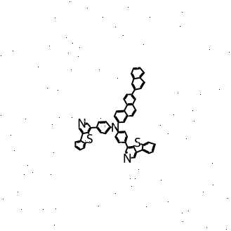 c1ccc2cc(-c3ccc4c(ccc5cc(N(c6ccc(-c7cncc8c7sc7ccccc78)cc6)c6ccc(-c7cncc8c7sc7ccccc78)cc6)ccc54)c3)ccc2c1